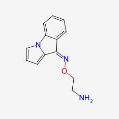 NCCON=C1c2ccccc2-n2cccc21